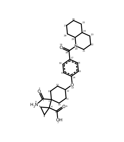 NC(=O)C1(C2(C(=O)O)CC2)CCC(Oc2ccc(C(=O)N3CCCC4CCCCC43)cc2)CC1